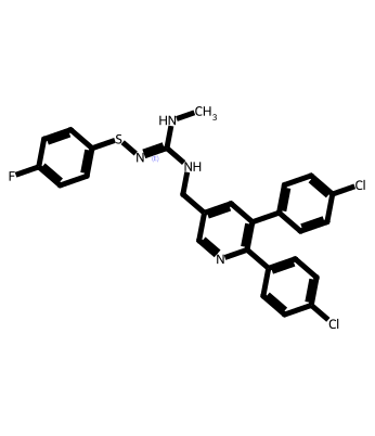 CN/C(=N\Sc1ccc(F)cc1)NCc1cnc(-c2ccc(Cl)cc2)c(-c2ccc(Cl)cc2)c1